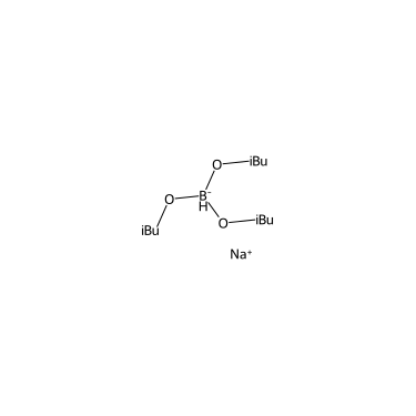 CCC(C)O[BH-](OC(C)CC)OC(C)CC.[Na+]